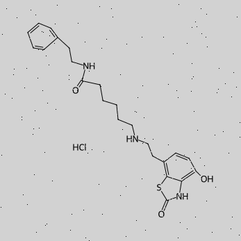 Cl.O=C(CCCCCNCCc1ccc(O)c2[nH]c(=O)sc12)NCCc1ccccc1